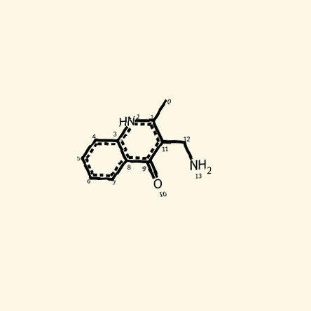 Cc1[nH]c2ccccc2c(=O)c1CN